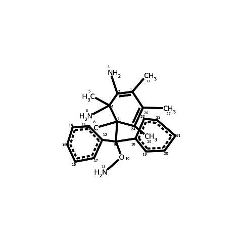 CC1=C(N)C(C)(N)C(C)(C(ON)(c2ccccc2)c2ccccc2)C(C)=C1C